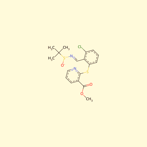 COC(=O)c1cccnc1Sc1cccc(Cl)c1C=N[S+]([O-])C(C)(C)C